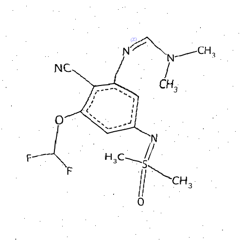 CN(C)/C=N\c1cc(N=S(C)(C)=O)cc(OC(F)F)c1C#N